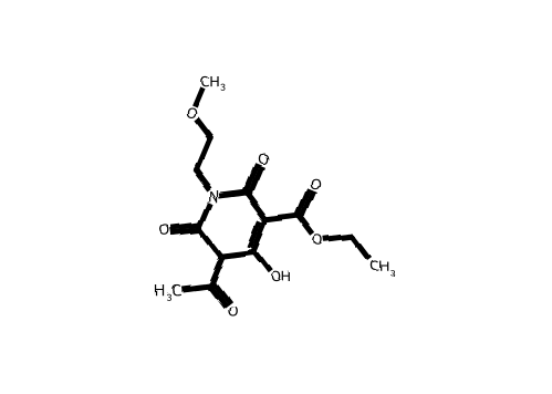 CCOC(=O)C1=C(O)C(C(C)=O)C(=O)N(CCOC)C1=O